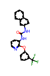 O=C(Nc1ccc2ccccc2c1)Nc1cccnc1Oc1cccc(C(F)(F)F)c1